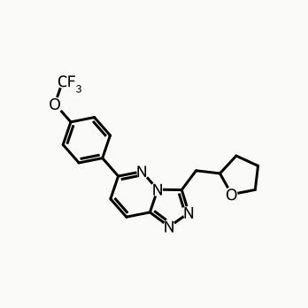 FC(F)(F)Oc1ccc(-c2ccc3nnc(CC4CCCO4)n3n2)cc1